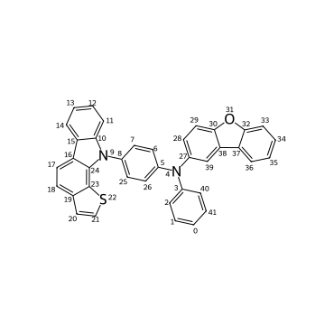 c1ccc(N(c2ccc(-n3c4ccccc4c4ccc5ccsc5c43)cc2)c2ccc3oc4ccccc4c3c2)cc1